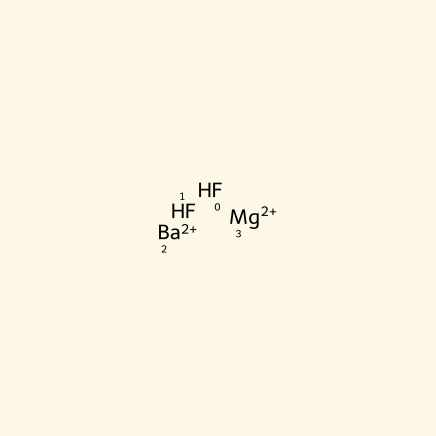 F.F.[Ba+2].[Mg+2]